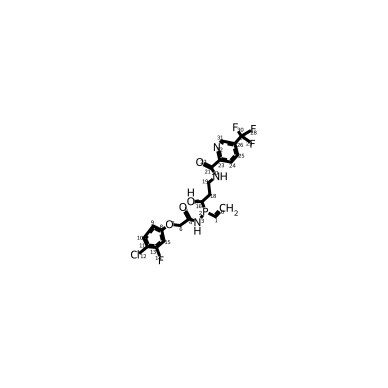 C=CP(NC(=O)COc1ccc(Cl)c(F)c1)C(O)CCNC(=O)c1ccc(C(F)(F)F)cn1